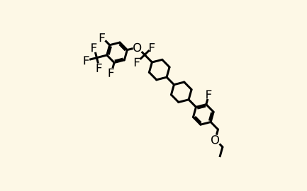 CCOCc1ccc(C2CCC(C3CCC(C(F)(F)Oc4cc(F)c(C(F)(F)F)c(F)c4)CC3)CC2)c(F)c1